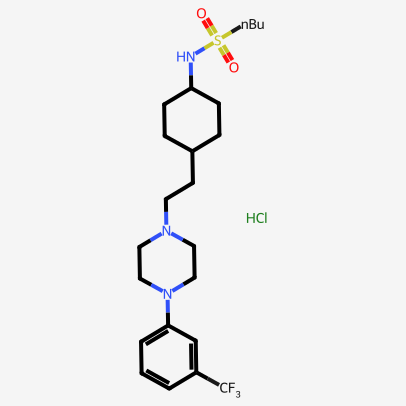 CCCCS(=O)(=O)NC1CCC(CCN2CCN(c3cccc(C(F)(F)F)c3)CC2)CC1.Cl